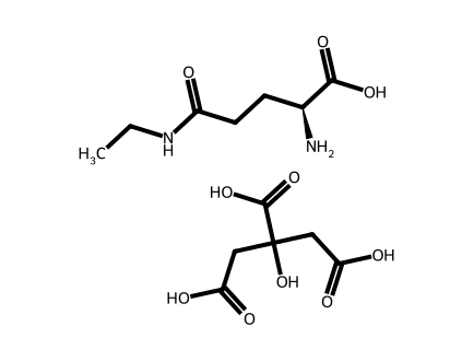 CCNC(=O)CC[C@H](N)C(=O)O.O=C(O)CC(O)(CC(=O)O)C(=O)O